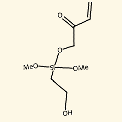 C=CC(=O)CO[Si](CCO)(OC)OC